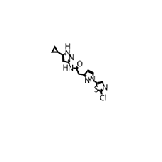 O=C(Cc1ccn(-c2cnc(Cl)s2)n1)Nc1cc(C2CC2)[nH]n1